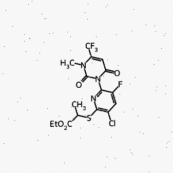 CCOC(=O)C(C)Sc1nc(-n2c(=O)cc(C(F)(F)F)n(C)c2=O)c(F)cc1Cl